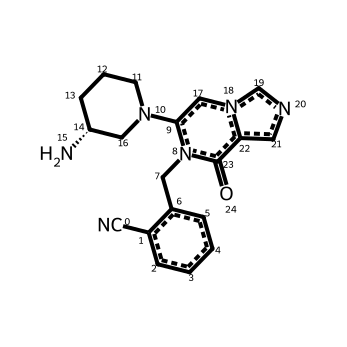 N#Cc1ccccc1Cn1c(N2CCC[C@@H](N)C2)cn2cncc2c1=O